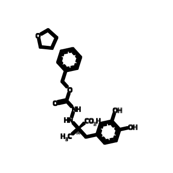 C1CCOC1.C[C@@](Cc1ccc(O)c(O)c1)(NNC(=O)OCc1ccccc1)C(=O)O